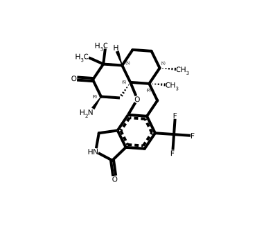 C[C@H]1CC[C@H]2C(C)(C)C(=O)[C@H](N)C[C@]23Oc2c4c(cc(C(F)(F)F)c2C[C@]13C)C(=O)NC4